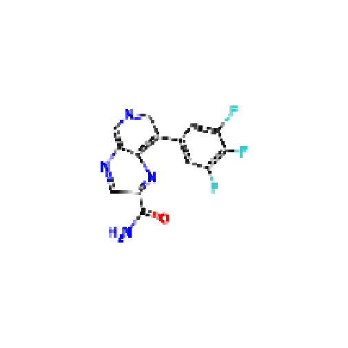 NC(=O)c1cnc2cncc(-c3cc(F)c(F)c(F)c3)c2n1